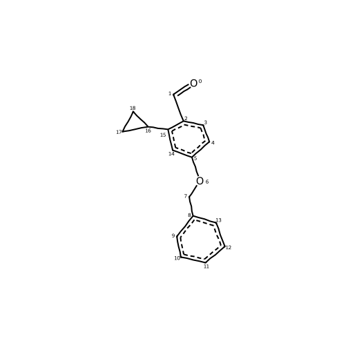 O=Cc1ccc(OCc2ccccc2)cc1C1CC1